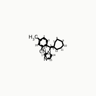 Cc1ccc(C(=C2CCCCCC2)n2ccnc2)c(C#N)c1